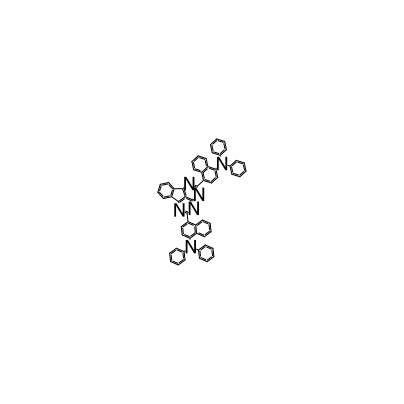 c1ccc(N(c2ccccc2)c2ccc(-c3nc4c5c(nc(-c6ccc(N(c7ccccc7)c7ccccc7)c7ccccc67)nc5n3)-c3ccccc3-4)c3ccccc23)cc1